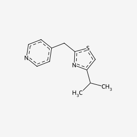 CC(C)c1csc(Cc2ccncc2)n1